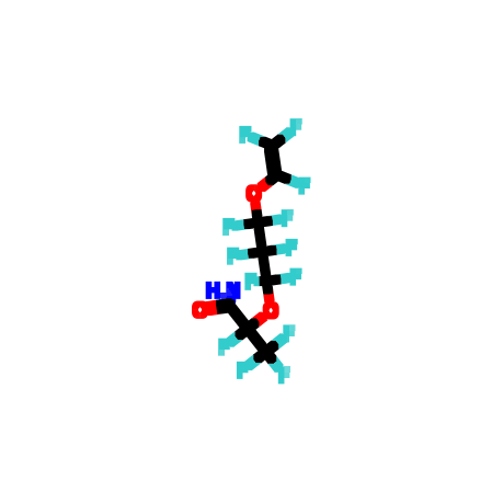 NC(=O)C(F)(OC(F)(F)C(F)(F)C(F)(F)OC(F)=C(F)F)C(F)(F)F